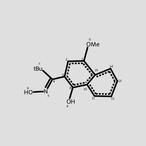 COc1cc(C(=NO)C(C)(C)C)c(O)c2ccccc12